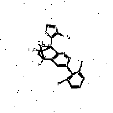 Cc1ncoc1[C@@]12CC[C@@H](c3cc(-c4c(F)cccc4F)nnc31)C2(C)C